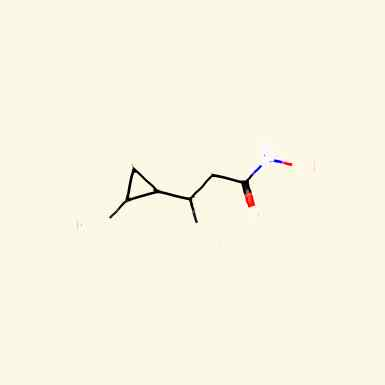 O=C(CC(C(=O)O)C1CC1C(=O)O)NO